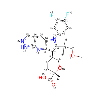 COCC(C)(C)c1c([C@@H]2CC[C@@](C)(C(=O)O)OC2)c2nc3[nH]ncc3cc2n1-c1ccc(F)c(F)c1